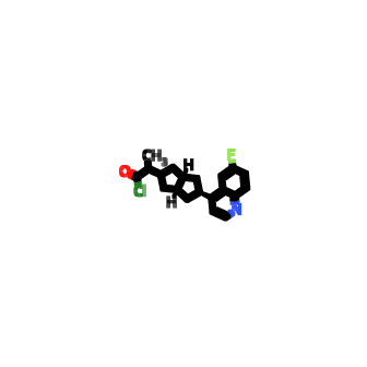 CC(C(=O)Cl)C1C[C@@H]2C[C@H](c3ccnc4ccc(F)cc34)C[C@@H]2C1